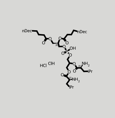 CCCCCCCCCCCCCC(=O)OC[C@H](COP(=O)(O)OCC(COC(=O)[C@@H](N)CC(C)C)OC(=O)[C@@H](N)CC(C)C)OC(=O)CCCCCCCCCCCCC.Cl.Cl